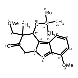 COCC1(C)C(=O)Cn2nc3c(OC)cccc3c2C1O[Si](C)(C)C(C)(C)C